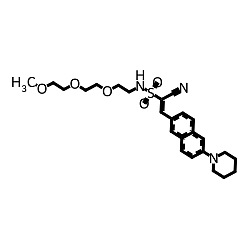 COCCOCCOCCNS(=O)(=O)/C(C#N)=C/c1ccc2cc(N3CCCCC3)ccc2c1